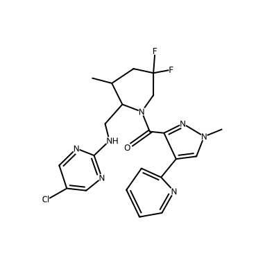 CC1CC(F)(F)CN(C(=O)c2nn(C)cc2-c2ccccn2)C1CNc1ncc(Cl)cn1